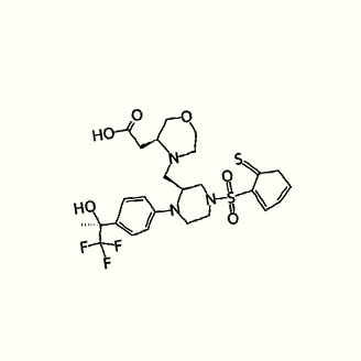 C[C@](O)(c1ccc(N2CCN(S(=O)(=O)C3=CC=CCC3=S)C[C@@H]2CN2CCOC[C@@H]2CC(=O)O)cc1)C(F)(F)F